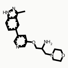 Cc1n[nH]c2ccc(-c3cncc(OCC(N)CN4CCOCC4)c3)cc12